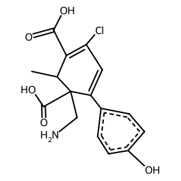 CC1C(C(=O)O)=C(Cl)C=C(c2ccc(O)cc2)C1(CN)C(=O)O